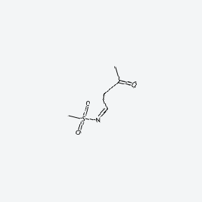 CC(=O)C/C=N\S(C)(=O)=O